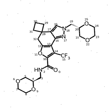 O=C(NC[C@@H]1COCCO1)c1oc2c(c1C(F)(F)F)-c1nn(C[C@H]3COCCO3)cc1C1(CCC1)C2